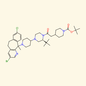 CC(C)(C)OC(=O)N1CCC(CC(=O)N2CCN(C3CCN(C4(C)c5ccc(Cl)cc5CCc5cc(Br)cnc54)CC3)C[C@@H]2C(C)(C)C)CC1